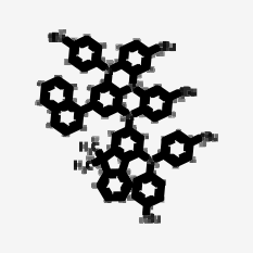 CC(C)(C)c1ccc(N(c2ccc(C(C)(C)C)cc2)c2cc(N3c4ccc(C(C)(C)C)cc4B4c5cc(C(C)(C)C)ccc5N(c5ccc(C(C)(C)C)cc5)c5cc(-c6cccc7ccccc67)cc3c54)cc3c2-c2ccccc2C3(C)C)cc1